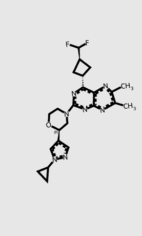 Cc1nc2nc(N3CCO[C@H](c4cnn(C5CC5)c4)C3)nc([C@H]3C[C@H](C(F)F)C3)c2nc1C